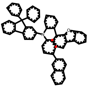 c1ccc(C2(c3ccccc3)c3ccccc3-c3ccc(N(c4ccc(-c5ccc6ccccc6c5)cc4)c4ccccc4-c4cccc5c4oc4ccccc45)cc32)cc1